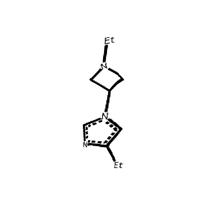 CCc1cn(C2CN(CC)C2)cn1